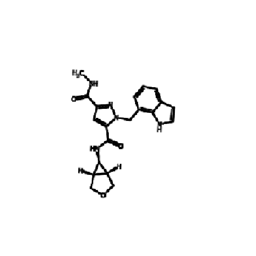 CNC(=O)c1cc(C(=O)N[C@H]2[C@@H]3COC[C@@H]32)n(Cc2cccc3cc[nH]c23)n1